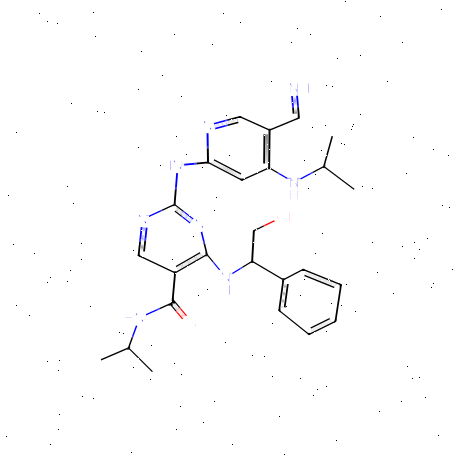 CC(C)NC(=O)c1cnc(Nc2cc(NC(C)C)c(C=N)cn2)nc1NC(CO)c1ccccc1